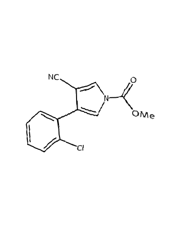 COC(=O)n1cc(C#N)c(-c2ccccc2Cl)c1